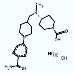 CN(CC1CCN(c2ccc(C(=N)N)cc2)CC1)[C@H]1CC[C@H](C(=O)O)CC1.Cl.Cl.Cl